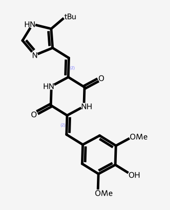 COc1cc(/C=c2\[nH]c(=O)/c(=C/c3nc[nH]c3C(C)(C)C)[nH]c2=O)cc(OC)c1O